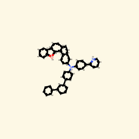 c1ccc(-c2cccc(-c3ccc(N(c4ccc(-c5ccccn5)cc4)c4ccc5c(ccc6ccc7c8ccccc8oc7c65)c4)cc3)c2)cc1